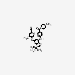 BC(B)(B)n1cnc2c(Nc3ccc(C(=O)N4CCN(C)CC4)cn3)cc(Oc3cnc(C#N)cc3C)nc21